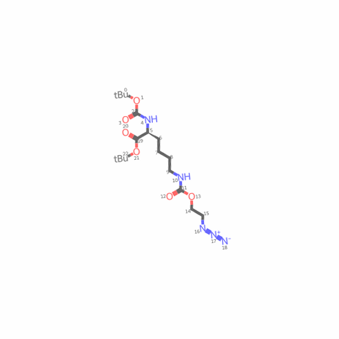 CC(C)(C)OC(=O)N[C@@H](CCCCNC(=O)OCCN=[N+]=[N-])C(=O)OC(C)(C)C